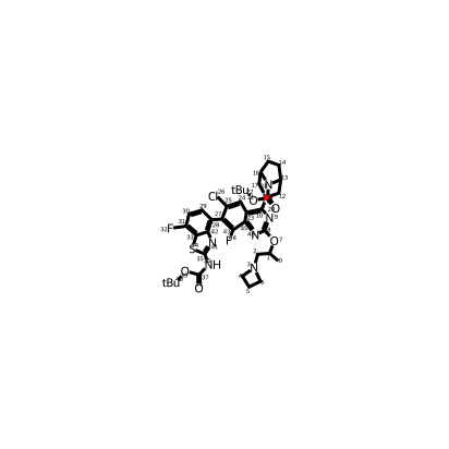 CC(CN1CCC1)Oc1nc(N2CC3CCC(C2)N3C(=O)OC(C)(C)C)c2cc(Cl)c(-c3ccc(F)c4sc(NC(=O)OC(C)(C)C)nc34)c(F)c2n1